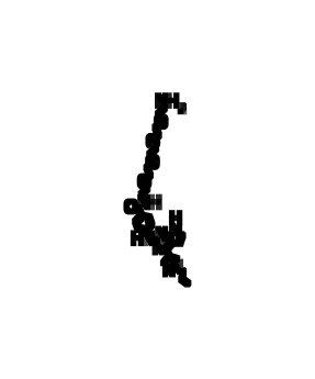 CCCn1cc(-c2nc(Nc3ccc(C(=O)NCCOCCOCCOCCOCCN)cc3)nc3[nH]ccc23)cn1